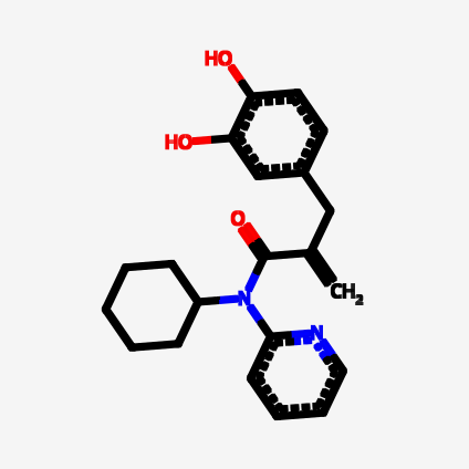 C=C(Cc1ccc(O)c(O)c1)C(=O)N(c1ccccn1)C1CCCCC1